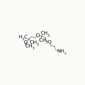 COC(C)(C)CCOC(C)(C)CCOCCCN